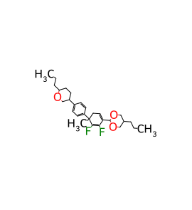 CCCC1COC(C2=CCC(C)(c3ccc(C4CCC(CCC)OC4)cc3)C(F)=C2F)OC1